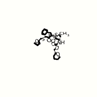 CC(C)C[C@H](NC(=O)OC[C@@H]1CCCCO1)C(=O)NC(Cc1ccccc1)C(=O)CSCc1ccco1